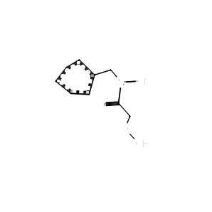 COCC(=O)N(C)Cc1ccccc1